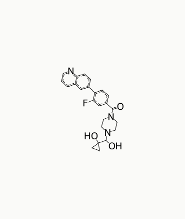 O=C(c1ccc(-c2ccc3ncccc3c2)c(F)c1)N1CCN(C(O)C2(O)CC2)CC1